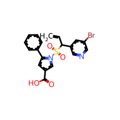 C=CC(c1cncc(Br)c1)S(=O)(=O)n1cc(C(=O)O)cc1-c1ccccc1